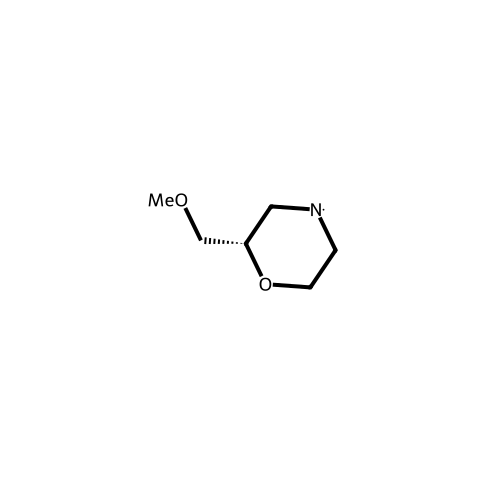 COC[C@@H]1C[N]CCO1